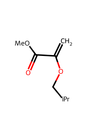 C=C(OCC(C)C)C(=O)OC